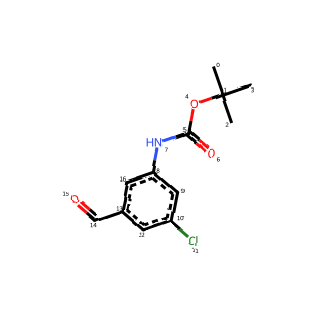 CC(C)(C)OC(=O)Nc1cc(Cl)cc(C=O)c1